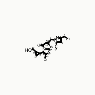 CCc1cc(CF)nn1Cc1cc(=O)n2c(C3CC3CO)c(C)sc2n1